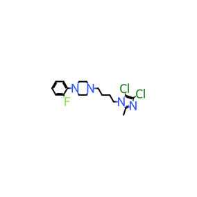 Cc1nc(Cl)c(Cl)n1CCCCN1CCN(c2ccccc2F)CC1